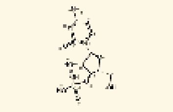 Nc1ccn([C@@H]2O[C@H](CO)[C@@H](OP(=O)(O)O)[C@@H]2O)c(=O)n1